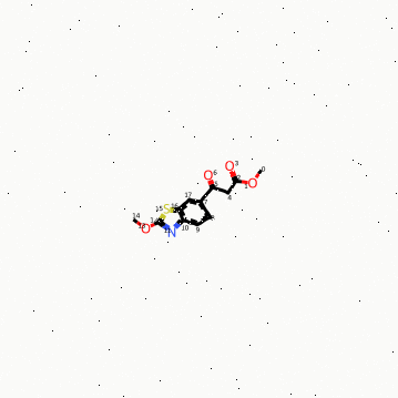 COC(=O)CC(=O)c1ccc2nc(OC)sc2c1